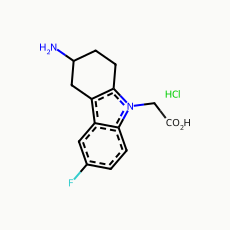 Cl.NC1CCc2c(c3cc(F)ccc3n2CC(=O)O)C1